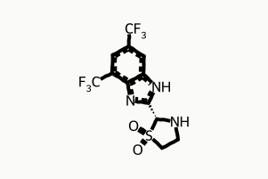 O=S1(=O)CCN[C@H]1c1nc2c(C(F)(F)F)cc(C(F)(F)F)cc2[nH]1